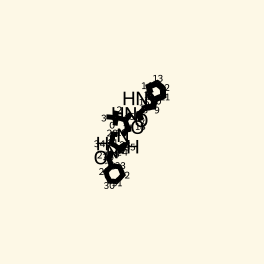 CC(C)(C)C(NC(=O)c1cc2ccccc2[nH]1)C(=O)N1C[C@@H]2C[C@H]1CN2C(=O)C1CCCCC1